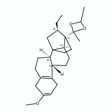 CC[C@@H]1CC23CC[C@@]1(C1(C)OC(C)O1)[C@@]2(C)CC[C@@H]1C2=C(CC[C@H]13)CC(OC)=CC2